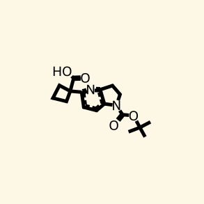 CC(C)(C)OC(=O)N1CCc2nc(C3(C(=O)O)CCC3)ccc21